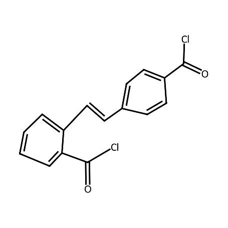 O=C(Cl)c1ccc(C=Cc2ccccc2C(=O)Cl)cc1